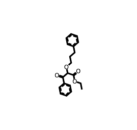 CCOC(=O)C(OCCCc1ccccc1)C(=O)c1ccccc1